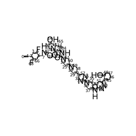 C#Cc1cc(F)c(CNC(=O)[C@@H]2C[C@@H](O)CN2C(=O)[C@@H](NC(=O)N2CCC(N3CCC(c4cnc(N5CCc6[nH]c7nnc(-c8ccccc8O)cc7c6[C@H]5C)nc4)CC3)CC2)C(C)(C)C)cc1F